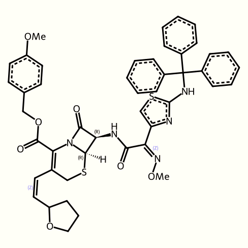 CO/N=C(\C(=O)N[C@@H]1C(=O)N2C(C(=O)OCc3ccc(OC)cc3)=C(/C=C\C3CCCO3)CS[C@H]12)c1csc(NC(c2ccccc2)(c2ccccc2)c2ccccc2)n1